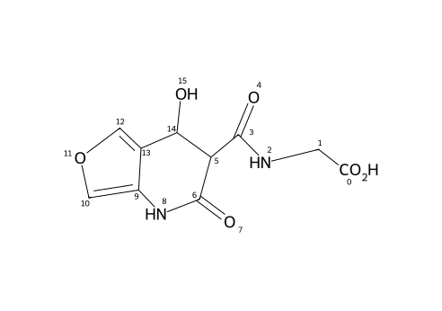 O=C(O)CNC(=O)C1C(=O)Nc2cocc2C1O